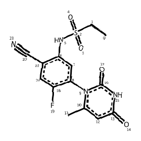 CCS(=O)(=O)Nc1cc(-n2c(C)cc(=O)[nH]c2=O)c(F)cc1C#N